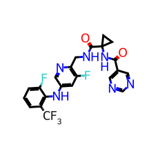 O=C(NC1(C(=O)NCc2ncc(Nc3c(F)cccc3C(F)(F)F)cc2F)CC1)c1cncnc1